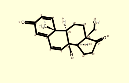 C[C@]12C=CC(=O)C=C1C=C[C@H]1[C@@H]3CCC(=O)[C@@]3(CO)CC[C@@H]12